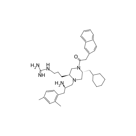 Cc1ccc(C[C@@H](N)CN2C[C@@H](CC3CCCCC3)N(C(=O)Cc3ccc4ccccc4c3)C[C@@H]2CCCNC(=N)N)c(C)c1